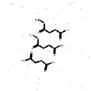 NOC(=O)CCC(=O)O.NOC(=O)CCC(=O)O.O=C(O)CCC(=O)O